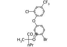 CCCC(C)(Oc1cc(Oc2ccc(C(F)(F)F)cc2Cl)ccc1Br)C(=O)O